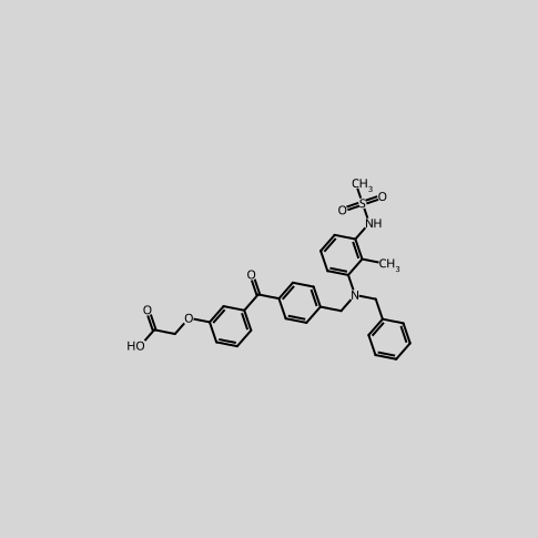 Cc1c(NS(C)(=O)=O)cccc1N(Cc1ccccc1)Cc1ccc(C(=O)c2cccc(OCC(=O)O)c2)cc1